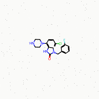 C=C(Cl)/C=C\C(=C1/CN(Cc2cccc(F)c2)C(=O)N1)N1CCNCC1